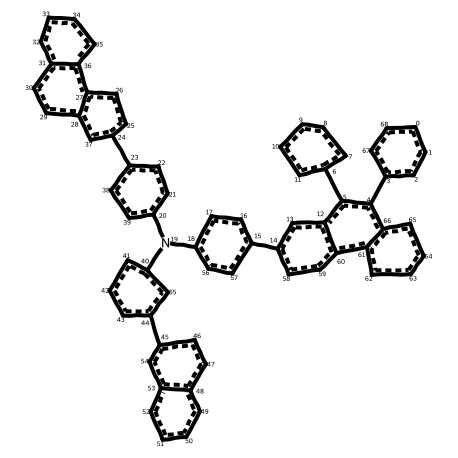 c1ccc(-c2c(-c3ccccc3)c3cc(-c4ccc(N(c5ccc(-c6ccc7c(ccc8ccccc87)c6)cc5)c5cccc(-c6ccc7ccccc7c6)c5)cc4)ccc3c3ccccc23)cc1